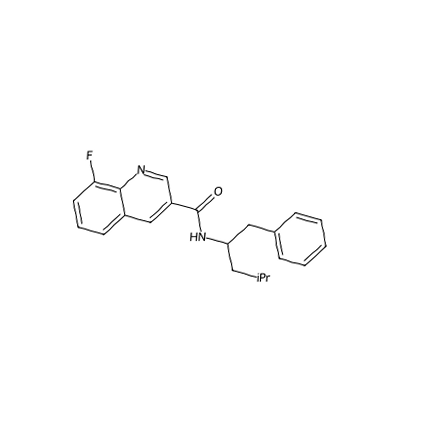 CC(C)CC(Cc1ccccc1)NC(=O)c1cnc2c(F)cccc2c1